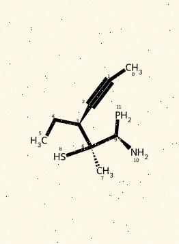 CC#C[C@H](CC)[C@](C)(S)[C@H](N)P